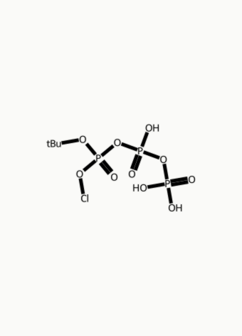 CC(C)(C)OP(=O)(OCl)OP(=O)(O)OP(=O)(O)O